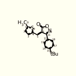 Cc1ccc(/C=C2\C(=O)ON=C2c2ccc(C(C)(C)C)cc2)s1